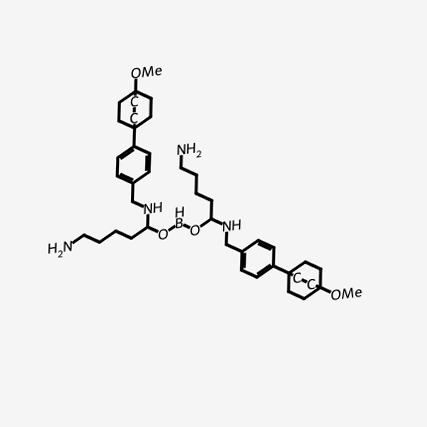 COC12CCC(c3ccc(CNC(CCCCN)OBOC(CCCCN)NCc4ccc(C56CCC(OC)(CC5)CC6)cc4)cc3)(CC1)CC2